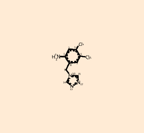 Nc1cc(Cl)c(Cl)cc1Cn1cnnc1